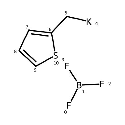 FB(F)F.[K][CH2]c1cccs1